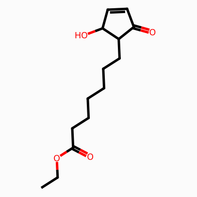 CCOC(=O)CCCCCCC1C(=O)C=CC1O